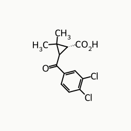 CC1(C)C(C(=O)c2ccc(Cl)c(Cl)c2)[C@H]1C(=O)O